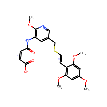 COc1cc(OC)c(/C=C/SCc2cnc(OC)c(NC(=O)/C=C\C(=O)O)c2)c(OC)c1